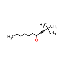 CCCCCCC(=O)C#CC(C)(C)C